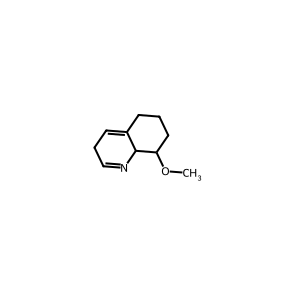 COC1CCCC2=CCC=NC21